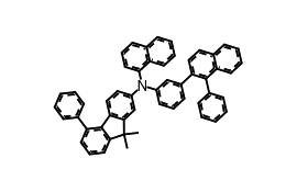 CC1(C)c2cc(N(c3cccc(-c4ccc5ccccc5c4-c4ccccc4)c3)c3cccc4ccccc34)ccc2-c2c(-c3ccccc3)cccc21